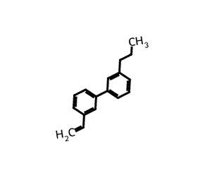 C=Cc1cccc(-c2cccc(CCC)c2)c1